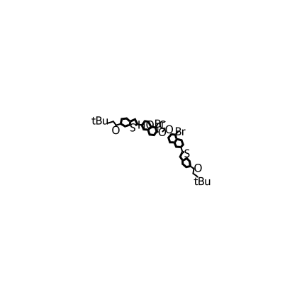 CC(C)(C)CCC(=O)c1ccc2cc(-c3ccc4c(Br)c(OC(Oc5ccc6cc(-c7cc8ccc(C(=O)CCC(C)(C)C)cc8s7)ccc6c5Br)C(=O)O)ccc4c3)sc2c1